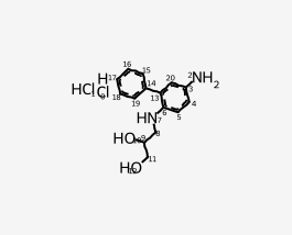 Cl.Cl.Nc1ccc(NCC(O)CO)c(-c2ccccc2)c1